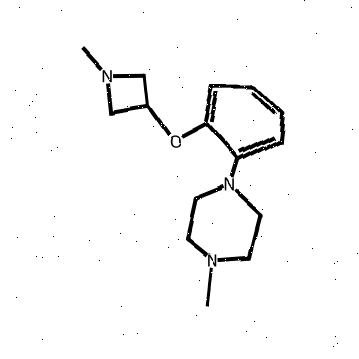 CN1CCN(c2ccccc2OC2CN(C)C2)CC1